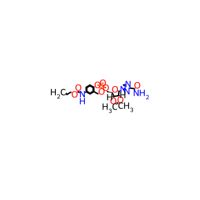 C=CCOC(=O)Nc1ccc2c(c1)COP(=O)(OC[C@H]1O[C@@H](n3cnc(C(N)=O)n3)[C@@H]3OC(C)(C)O[C@@H]31)O2